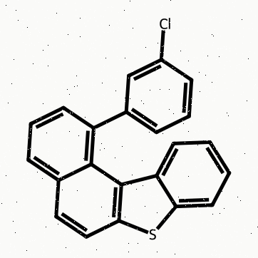 Clc1cccc(-c2cccc3ccc4sc5ccccc5c4c23)c1